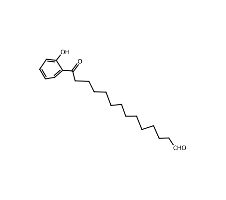 O=CCCCCCCCCCCCCC(=O)c1ccccc1O